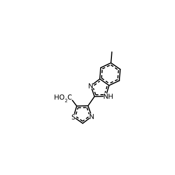 Cc1ccc2[nH]c(-c3ncsc3C(=O)O)nc2c1